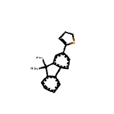 CCCCCCC1(CCCCCC)c2ccccc2-c2ccc(C3=CCCS3)cc21